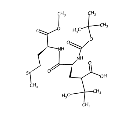 COC(=O)[C@H](CC[Se]C)NC(=O)[C@H](CC(C(=O)O)C(C)(C)C)NC(=O)OC(C)(C)C